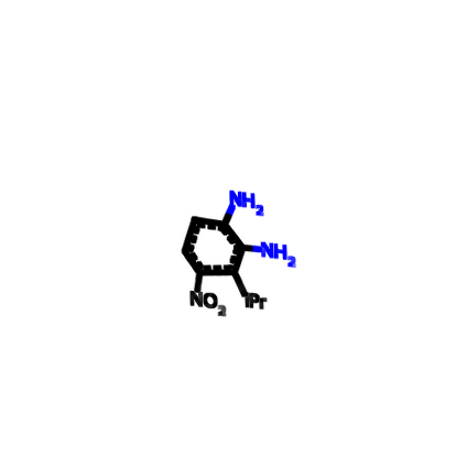 CC(C)c1c([N+](=O)[O-])ccc(N)c1N